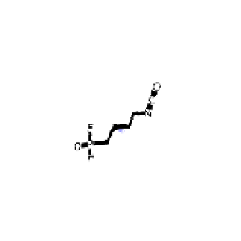 O=C=NC/C=C/CP(=O)(F)F